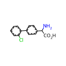 NC(C(=O)O)c1ccc(-c2ccccc2Cl)cc1